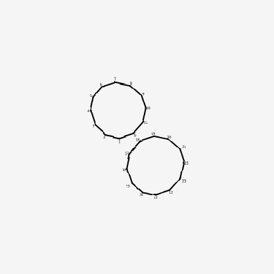 C1CCCCCCCCCCC1.C1CCCCCCCCCCC1